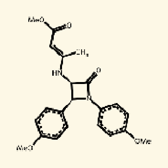 COC(=O)/C=C(\C)N[C@H]1C(=O)N(c2ccc(OC)cc2)[C@H]1c1ccc(OC)cc1